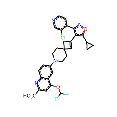 O=C(O)c1cc(OC(F)F)c2cc(N3CCC4(C=C(c5c(-c6ccncc6Cl)noc5C5CC5)C4)CC3)ccc2n1